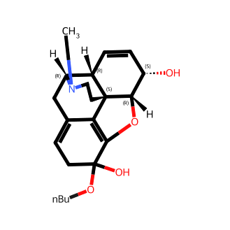 CCCCOC1(O)CC=C2C[C@@H]3[C@@H]4C=C[C@H](O)[C@@H]5OC1=C2[C@]45CCN3C